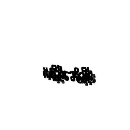 CC1CC2(CC(C)(C)[N+]1(C)C)C(=O)N(CCCN1C(=O)N(C)C3(CC(C)[N+](C)(C)C(C)(C)C3)C1=O)C(=O)N2C